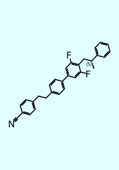 C[C@@H](Cc1c(F)cc(-c2ccc(CCc3ccc(C#N)cc3)cc2)cc1F)c1ccccc1